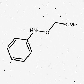 COCONc1ccccc1